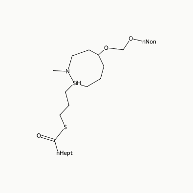 CCCCCCCCCOCOC1CCC[SiH](CCCSC(=O)CCCCCCC)N(C)CC1